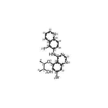 C[C@H](O)[C@@H](C)Oc1cc(Br)cc2ncnc(Nc3ccc4ncccc4c3F)c12